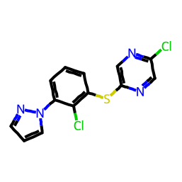 Clc1cnc(Sc2cccc(-n3cccn3)c2Cl)cn1